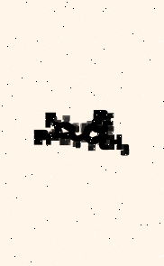 Cc1cc(Cc2ccc(F)c(C(C)C)c2)cc(C(C)C)c1F